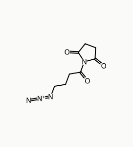 [N-]=[N+]=NCCCC(=O)N1C(=O)CCC1=O